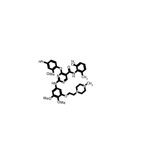 CCCc1ccc(Oc2nc(Nc3cc(OC)c(OC)c(OCCN4CCN(C)CC4)c3)ncc2C(=O)Nc2c(C)cccc2C)c(OC)c1